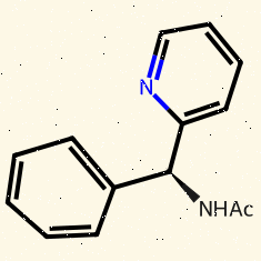 CC(=O)N[C@@H](c1ccccc1)c1ccccn1